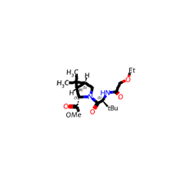 CCOCC(=O)N[C@H](C(=O)N1C[C@H]2[C@@H]([C@H]1C(=O)OC)C2(C)C)C(C)(C)C